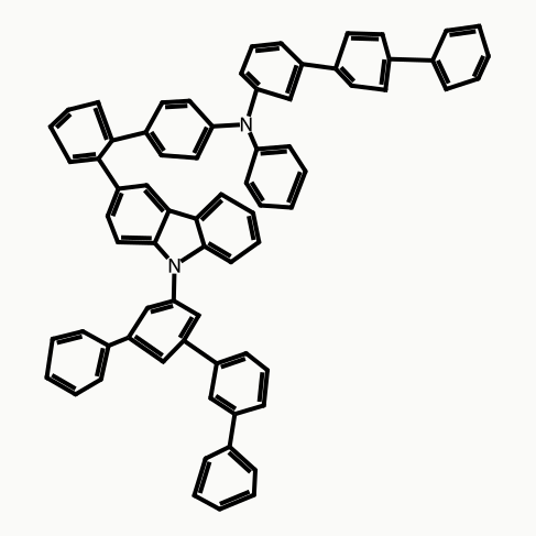 c1ccc(-c2ccc(-c3cccc(N(c4ccccc4)c4ccc(-c5ccccc5-c5ccc6c(c5)c5ccccc5n6-c5cc(-c6ccccc6)cc(-c6cccc(-c7ccccc7)c6)c5)cc4)c3)cc2)cc1